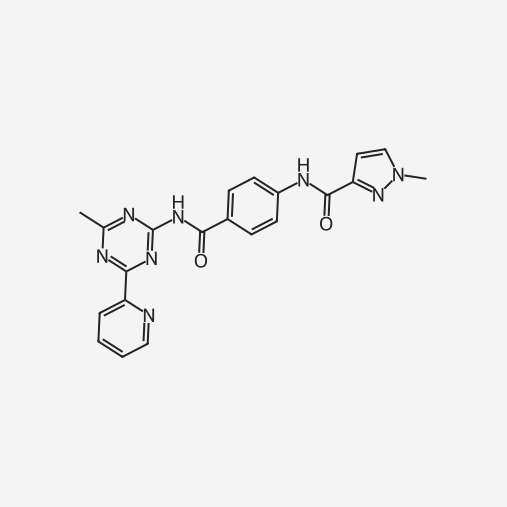 Cc1nc(NC(=O)c2ccc(NC(=O)c3ccn(C)n3)cc2)nc(-c2ccccn2)n1